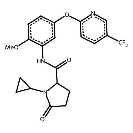 COc1ccc(Oc2ccc(C(F)(F)F)cn2)cc1NC(=O)C1CCC(=O)N1C1CC1